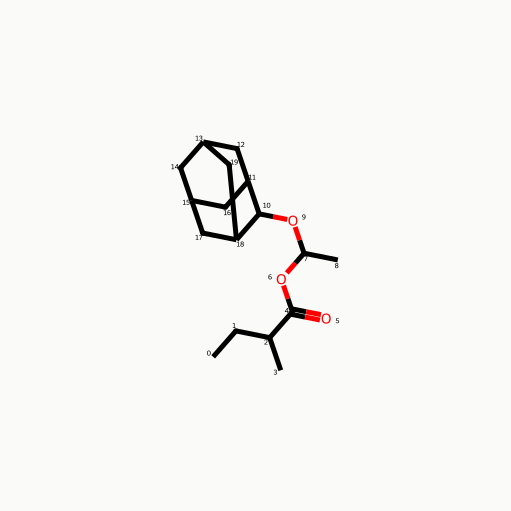 CCC(C)C(=O)OC(C)OC1C2CC3CC(C2)CC1C3